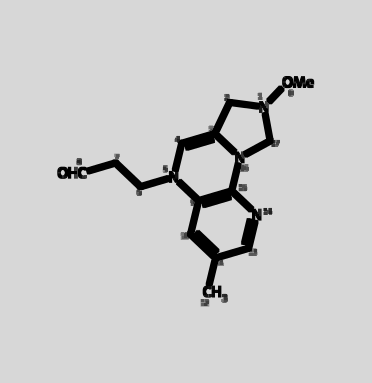 CON1CC2=CN(CCC=O)c3cc(C)cnc3N2C1